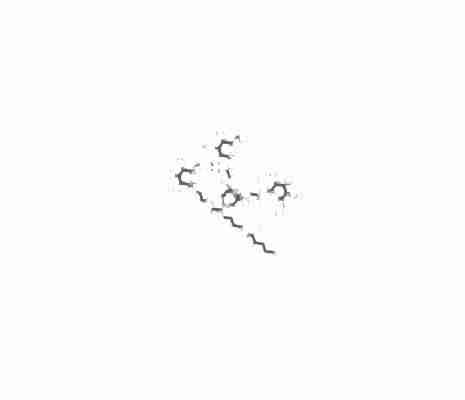 O=C(O)CCCCC(=O)NCCCC[C@@H](C(=O)NCCO[C@H]1O[C@H](CO)[C@@H](O)[C@H](O)[C@@H]1O)N(CC(=O)NCCO[C@H]1O[C@H](CO)[C@@H](O)[C@H](O)[C@@H]1O)CC(=O)NCCO[C@H]1O[C@H](CO)[C@@H](O)[C@H](O)[C@@H]1O